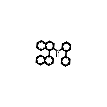 c1ccc(-c2ccccc2Nc2ccc3ccccc3c2-c2cccc3ccccc23)cc1